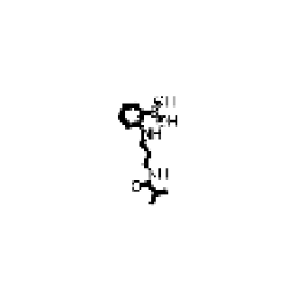 C=C(C)C(=O)NCCCNc1ccccc1B(O)O